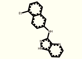 CCc1cccc2cc(Nc3n[nH]c4cccnc34)ccc12